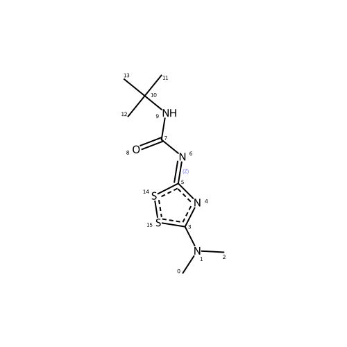 CN(C)c1n/c(=N/C(=O)NC(C)(C)C)ss1